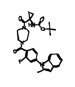 Cc1cc2ccccc2n1-c1ccc(C(=O)N2CCN(C(=O)C3(NC(=O)OC(C)(C)C)CC3)CC2)c(F)c1